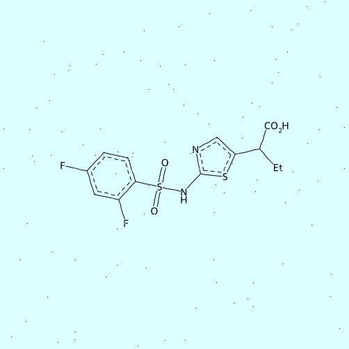 CCC(C(=O)O)c1cnc(NS(=O)(=O)c2ccc(F)cc2F)s1